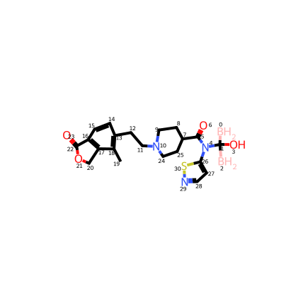 BC(B)(O)N(C(=O)C1CCN(CCc2ccc3c(c2C)COC3=O)CC1)c1ccns1